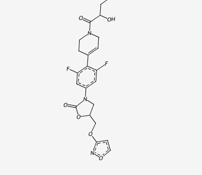 O=C(C(O)CO)N1CC=C(c2c(F)cc(N3CC(COc4ccon4)OC3=O)cc2F)CC1